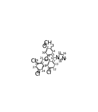 COc1ccc(C(c2ccc(Cl)cc2)n2ccnc2)c(OCc2ccc(Cl)cc2Cl)c1